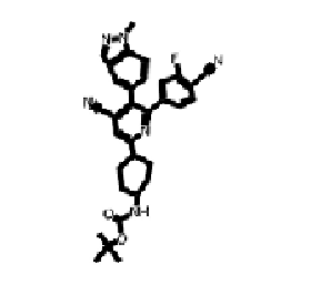 Cn1ncc2cc(-c3c(C#N)cc(C4CCC(NC(=O)OC(C)(C)C)CC4)nc3-c3ccc(C#N)c(F)c3)ccc21